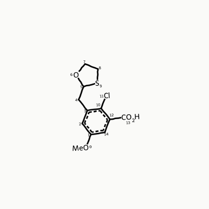 COc1cc(CC2OCCS2)c(Cl)c(C(=O)O)c1